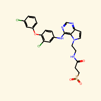 O=C(CC[SH](=O)=O)NCCn1ccc2ncnc(Nc3ccc(Oc4cccc(Cl)c4)c(Cl)c3)c21